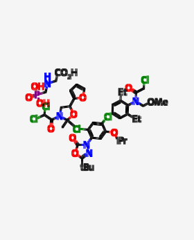 CC(C)Oc1cc(-n2nc(C(C)(C)C)oc2=O)c(Cl)cc1Cl.CC1(C)OC(c2ccco2)CN1C(=O)C(Cl)Cl.CCc1cccc(CC)c1N(COC)C(=O)CCl.O=C(O)CNCP(=O)(O)O